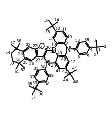 CC(C)(C)c1ccc(N2c3ccc(C(C)(C)C)cc3B3c4oc5cc6c(cc5c4N(c4ccc(C(C)(C)C)cc4)c4cc(C(C)(C)C)cc2c43)C(C)(C)CCC6(C)C)cc1